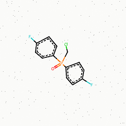 O=P(CCl)(c1ccc(F)cc1)c1ccc(F)cc1